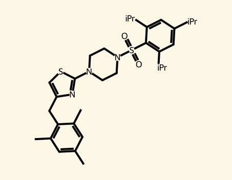 Cc1cc(C)c(Cc2csc(N3CCN(S(=O)(=O)c4c(C(C)C)cc(C(C)C)cc4C(C)C)CC3)n2)c(C)c1